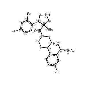 CC(=O)N[C@H](C)c1cc(Cl)ccc1C1CCN(C(=O)[C@@]2(C(C)(C)C)CNC[C@H]2c2ccc(F)cc2F)CC1